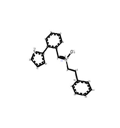 [O-]/[N+](=C\c1ccccc1-c1cccs1)CCc1ccccc1